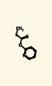 CSC(=S)Oc1ccccn1